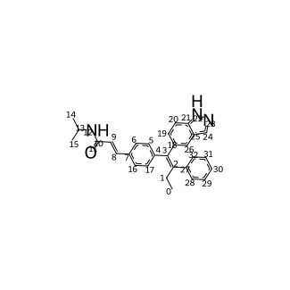 CCC(=C(c1ccc(C=CC(=O)NC(C)C)cc1)c1ccc2[nH]ncc2c1)c1ccccc1